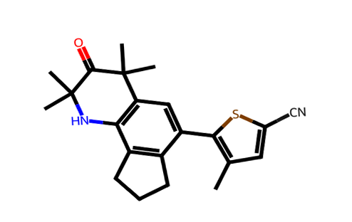 Cc1cc(C#N)sc1-c1cc2c(c3c1CCC3)NC(C)(C)C(=O)C2(C)C